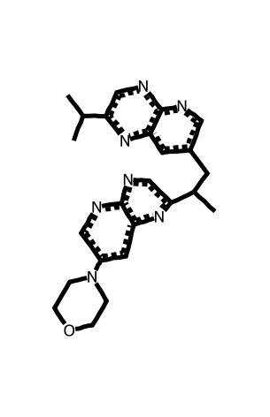 CC(C)c1cnc2ncc(CC(C)c3cnc4ncc(N5CCOCC5)cc4n3)cc2n1